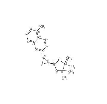 CC1(C)OB([C@H]2C[C@@H]2c2cnc3c(C(F)(F)F)cccc3c2)OC1(C)C